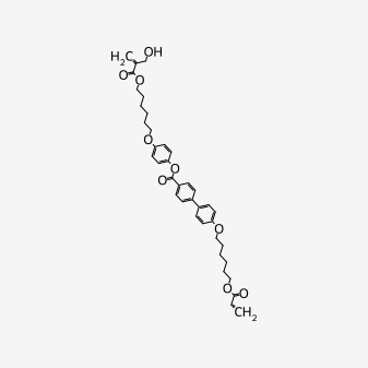 C=CC(=O)OCCCCCCOc1ccc(-c2ccc(C(=O)Oc3ccc(OCCCCCCOC(=O)C(=C)CO)cc3)cc2)cc1